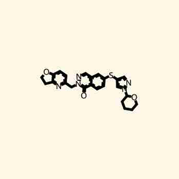 O=c1c2ccc(Sc3cnn(C4CCCCO4)c3)cc2cnn1Cc1ccc2c(n1)CCO2